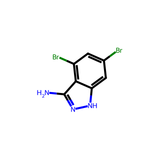 Nc1n[nH]c2cc(Br)cc(Br)c12